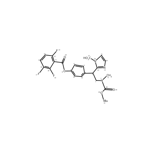 CN(CC(c1ccc(OC(=O)c2c(F)ccc(F)c2F)cc1)c1nccn1C(=O)O)C(=O)OC(C)(C)C